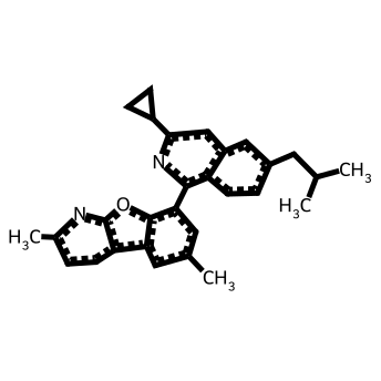 Cc1cc(-c2nc(C3CC3)cc3cc(CC(C)C)ccc23)c2oc3nc(C)ccc3c2c1